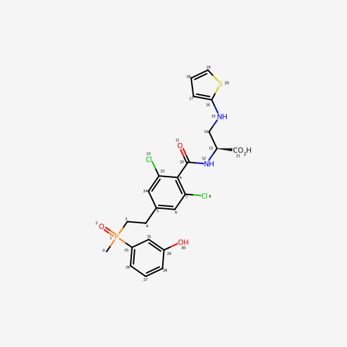 CP(=O)(CCc1cc(Cl)c(C(=O)N[C@@H](CNc2cccs2)C(=O)O)c(Cl)c1)c1cccc(O)c1